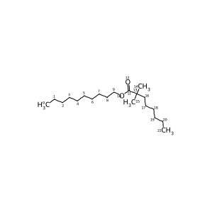 CCCCCCCCCCOC(=O)C(C)(C)CCCCCC